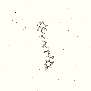 CC1=C(/C=C/C(C)=C/C=C/C(C)=C/C(=O)OCC(=O)c2ccc(C)cc2C)C(C)(C)CCC1